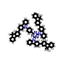 CC1(C)c2ccccc2-c2ccc(-c3ccc4c5ccccc5n(-c5ccc(-c6nc(-n7c8ccccc8c8ccc(-c9ccc%10c(c9)C(C)(C)c9ccccc9-%10)cc87)nc(-n7c8ccccc8c8ccc(-c9ccc%10c(c9)C(C)(C)c9ccccc9-%10)cc87)n6)cc5)c4c3)cc21